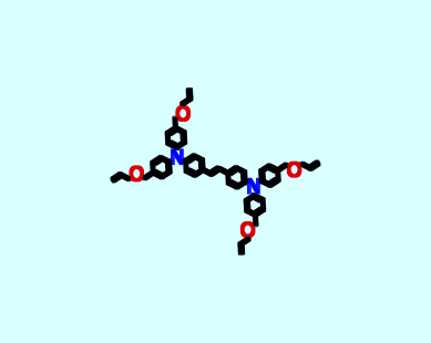 C=CCOCc1ccc(N(c2ccc(/C=C/c3ccc(N(c4ccc(COCC=C)cc4)c4ccc(COCC=C)cc4)cc3)cc2)c2ccc(COCC=C)cc2)cc1